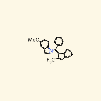 COc1ccc2c(ccn2/C(=C2\C(C(F)(F)F)=Cc3ccccc32)c2ccccc2)c1